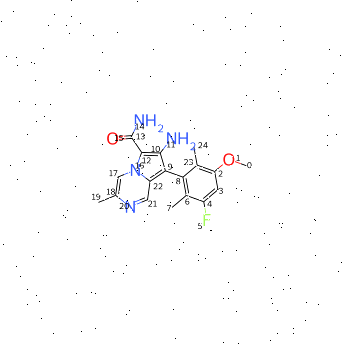 COc1cc(F)c(C)c(-c2c(N)c(C(N)=O)n3cc(C)ncc23)c1C